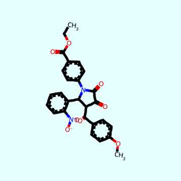 CCOC(=O)c1ccc(N2C(=O)C(=O)C(C(=O)c3ccc(OC)cc3)C2c2ccccc2[N+](=O)[O-])cc1